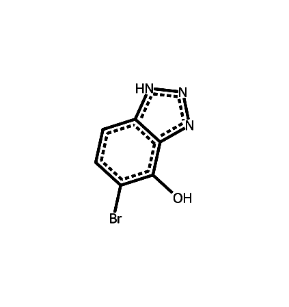 Oc1c(Br)ccc2[nH]nnc12